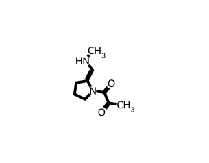 CN/C=C1\CCCN1C(=O)C(C)=O